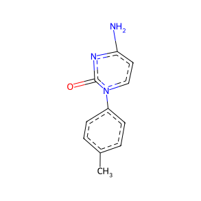 Cc1ccc(-n2ccc(N)nc2=O)cc1